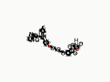 Cc1ccc(-n2nc(N3CCN(CCOCCOCCOc4ccc5c(c4)C(=O)N(C4CCC(=O)NC4=O)C5=O)CC3)cc2NC(=O)c2cnn3cccnc23)nc1